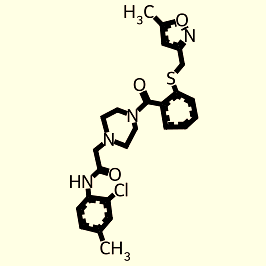 Cc1ccc(NC(=O)CN2CCN(C(=O)c3ccccc3SCc3cc(C)on3)CC2)c(Cl)c1